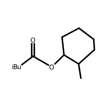 CCC(C)C(=O)OC1CCCCC1C